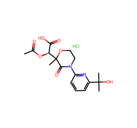 CC(=O)O[C@@H](C(=O)O)C1(C)OCCN(c2cccc(C(C)(C)O)n2)C1=O.Cl